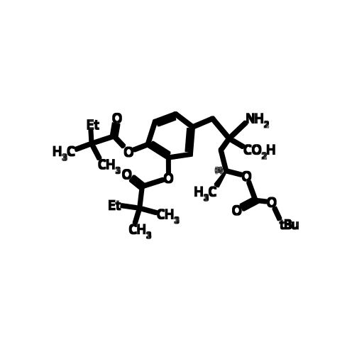 CCC(C)(C)C(=O)Oc1ccc(CC(N)(C[C@H](C)OC(=O)OC(C)(C)C)C(=O)O)cc1OC(=O)C(C)(C)CC